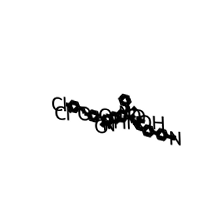 CC[C@@H](c1ccccc1)N1Cc2cc3c(cc2C[C@H]1C(=O)NC(Cc1ccc(-c2ccc(C#N)cc2)cc1)C(=O)O)N(C)C(=O)[C@H](c1ccc(OCc2ccc(Cl)c(Cl)c2)cc1)O3